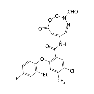 CCc1cc(F)ccc1Oc1cc(C(F)(F)F)c(Cl)cc1C(=O)Nc1cnn(C=O)ooc(=O)c1